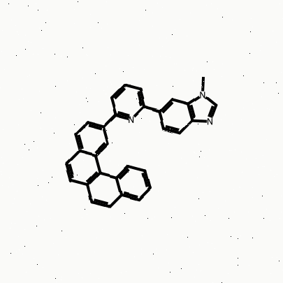 Cn1cnc2ccc(-c3cccc(-c4ccc5ccc6ccc7ccccc7c6c5c4)n3)cc21